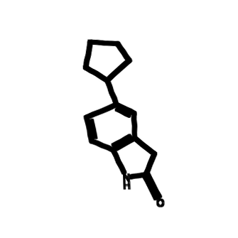 O=C1Cc2cc(C3CCCC3)ccc2N1